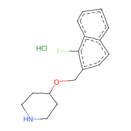 Cl.Fc1c(COC2CCNCC2)ccc2ccccc12